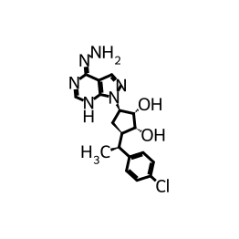 C[C@H](c1ccc(Cl)cc1)[C@H]1C[C@@H](n2ncc3/c(=N\N)nc[nH]c32)[C@H](O)[C@@H]1O